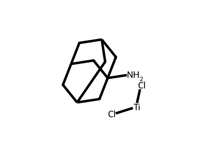 NC12CC3CC(CC(C3)C1)C2.[Cl][Ti][Cl]